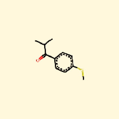 CSc1ccc(C(=O)[C](C)C)cc1